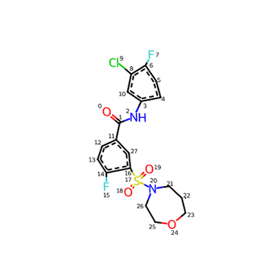 O=C(Nc1ccc(F)c(Cl)c1)c1ccc(F)c(S(=O)(=O)N2C[CH]COCC2)c1